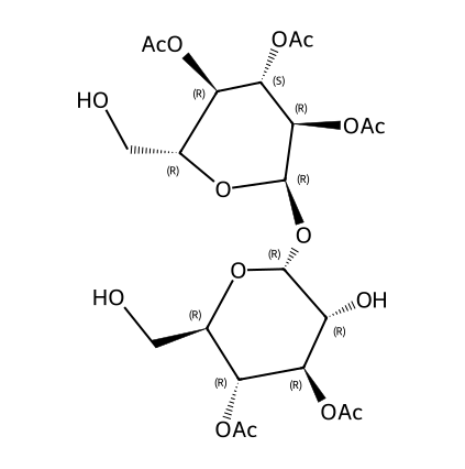 CC(=O)O[C@@H]1[C@@H](OC(C)=O)[C@@H](O[C@H]2O[C@H](CO)[C@@H](OC(C)=O)[C@H](OC(C)=O)[C@H]2O)O[C@H](CO)[C@H]1OC(C)=O